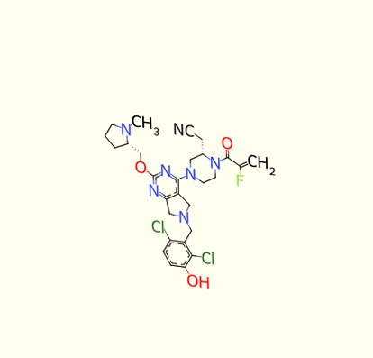 C=C(F)C(=O)N1CCN(c2nc(OC[C@@H]3CCCN3C)nc3c2CN(Cc2c(Cl)ccc(O)c2Cl)C3)C[C@@H]1CC#N